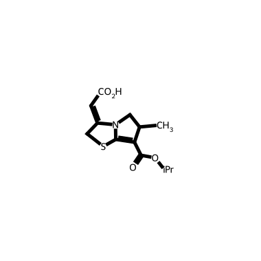 CC(C)OC(=O)C1=C2SCC(=CC(=O)O)N2CC1C